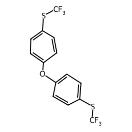 FC(F)(F)Sc1ccc(Oc2ccc(SC(F)(F)F)cc2)cc1